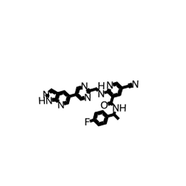 CC(NC(=O)c1cc(C#N)cnc1NCc1ncc(-c2cnc3[nH]ncc3c2)cn1)c1ccc(F)cc1